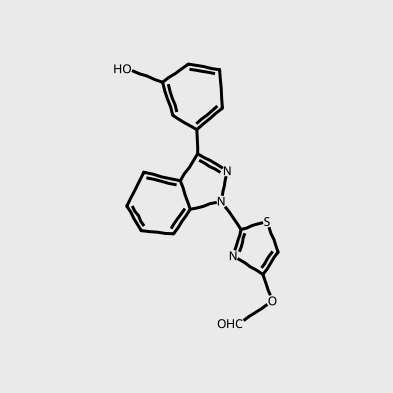 O=COc1csc(-n2nc(-c3cccc(O)c3)c3ccccc32)n1